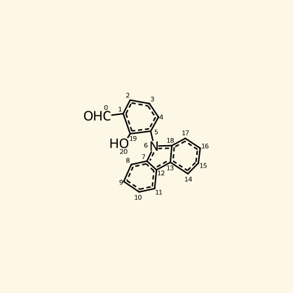 O=Cc1cccc(-n2c3ccccc3c3ccccc32)c1O